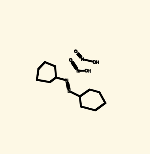 C1CCC(N=NC2CCCCC2)CC1.O=NO.O=NO